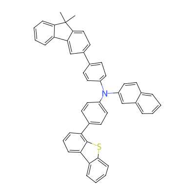 CC1(C)c2ccccc2-c2cc(-c3ccc(N(c4ccc(-c5cccc6c5sc5ccccc56)cc4)c4ccc5ccccc5c4)cc3)ccc21